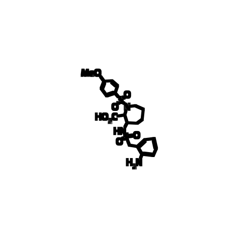 COc1ccc(S(=O)(=O)N2CCCCC(NS(=O)(=O)Cc3ccccc3N)C2C(=O)O)cc1